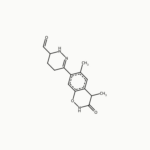 Cc1cc2c(cc1C1=NNC(C=O)CC1)ONC(=O)C2C